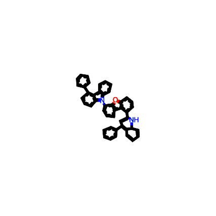 C1=CC2=C(c3ccccc3)C=C(c3cccc4oc5c(-n6c7ccccc7c7c(-c8ccccc8)cccc76)cccc5c34)NC2C=C1